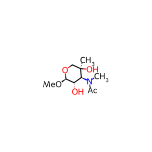 CO[C@H]1OC[C@@](C)(O)[C@@H](N(C)C(C)=O)[C@@H]1O